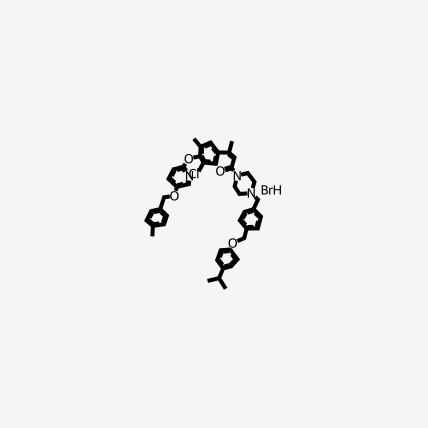 Br.CC(=CC(=O)N1CCN(Cc2ccc(COc3ccc(C(C)C)cc3)cc2)CC1)c1cc(C)c(Oc2ccc(OCc3ccc(C)cc3)cn2)c(Cl)c1